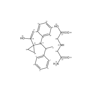 CC(c1ccccc1)N(c1ccccc1)C1(C(=O)O)CC1.NC(=O)CNCC(=O)O